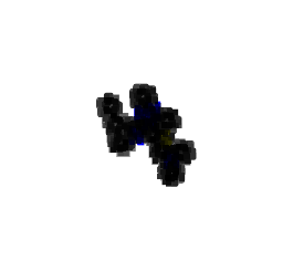 c1ccc(-c2ccc(-c3ccccc3)c(-c3cnc(-c4ccc5sc6c(ccc7c6c6ccccc6n7-c6ccccc6)c5c4)c(-c4nc(-c5ccccc5)nc(-c5ccccc5)n4)c3)c2)cc1